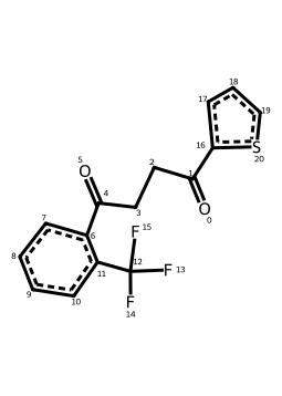 O=C(CCC(=O)c1ccccc1C(F)(F)F)c1cccs1